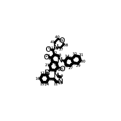 O=C(c1cn2c3c(c(-n4cncc4-c4ccccc4)c(F)cc3c1=O)Oc1cc3ccccc3cc1-2)N1CCOCC1